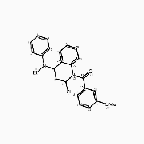 CCN(c1ccccc1)C1CC(C)N(C(=O)c2cccc(OC)c2)c2ccccc21